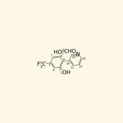 O=CO.Oc1cc(C(F)(F)F)ccc1-c1cccnc1